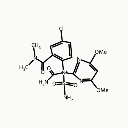 COc1cc(OC)nc([N+](C(N)=O)(c2ccc(Cl)cc2C(=O)N(C)C)S(N)(=O)=O)n1